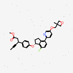 CC#CC(CC(=O)OC)c1ccc(O[C@@H]2CCc3c(-c4ccc(OCC5(C)COC5)cn4)ccc(F)c32)cc1